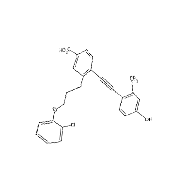 O=C(O)c1ccc(C#Cc2ccc(O)cc2C(F)(F)F)c(CCCOc2ccccc2Cl)c1